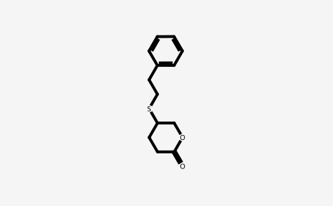 O=C1CCC(SCCc2ccccc2)CO1